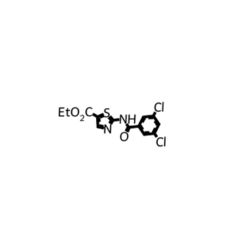 CCOC(=O)c1cnc(NC(=O)c2cc(Cl)cc(Cl)c2)s1